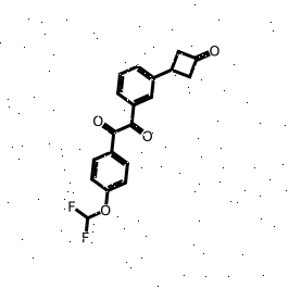 O=C1CC(c2cccc(C(=O)C(=O)c3ccc(OC(F)F)cc3)c2)C1